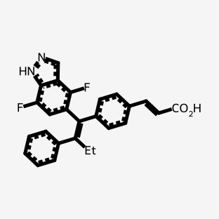 CCC(=C(c1ccc(C=CC(=O)O)cc1)c1cc(F)c2[nH]ncc2c1F)c1ccccc1